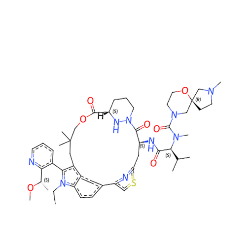 CCn1c(-c2cccnc2[C@H](C)OC)c2c3cc(ccc31)-c1csc(n1)C[C@H](NC(=O)[C@H](C(C)C)N(C)C(=O)N1CCO[C@@]3(CCN(C)C3)C1)C(=O)N1CCC[C@H](N1)C(=O)OCC(C)(C)C2